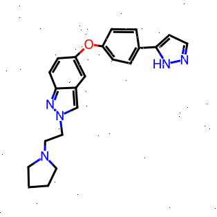 c1cc(-c2ccc(Oc3ccc4nn(CCN5CCCC5)cc4c3)cc2)[nH]n1